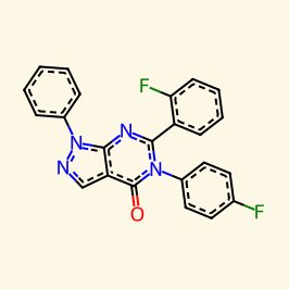 O=c1c2cnn(-c3ccccc3)c2nc(-c2ccccc2F)n1-c1ccc(F)cc1